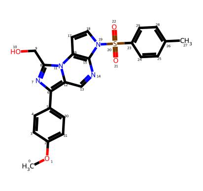 COc1ccc(-c2nc(CO)n3c2cnc2c3ccn2S(=O)(=O)c2ccc(C)cc2)cc1